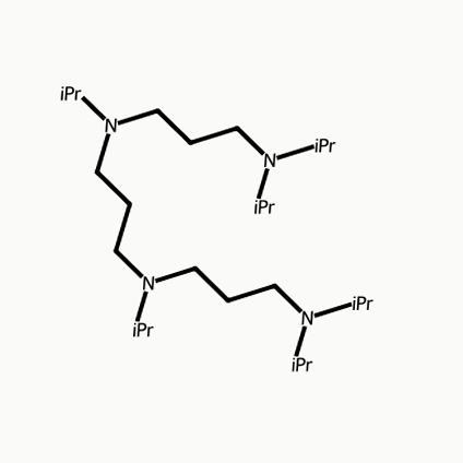 CC(C)N(CCCN(CCCN(C(C)C)C(C)C)C(C)C)CCCN(C(C)C)C(C)C